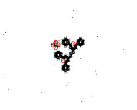 C(/C=C/c1cc(-c2ccccc2)[o+]c(-c2ccccc2)c1)=C1C=C(c2ccccc2)OC(c2ccccc2)=C1.[O-][Cl+3]([O-])([O-])[O-]